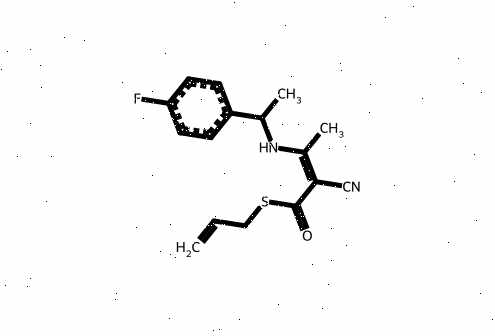 C=CCSC(=O)C(C#N)=C(C)NC(C)c1ccc(F)cc1